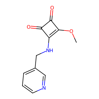 COc1c(NCc2cccnc2)c(=O)c1=O